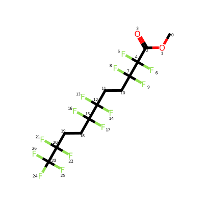 COC(=O)C(F)(F)C(F)(F)CCC(F)(F)C(F)(F)CCC(F)(F)C(F)(F)F